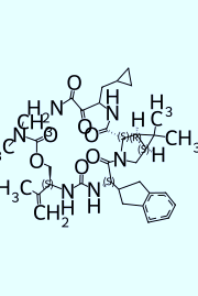 C=C(C)[C@@H](COC(=O)N(C)C)NC(=O)N[C@H](C(=O)N1C[C@H]2[C@@H]([C@H]1C(=O)NC(CC1CC1)C(=O)C(N)=O)C2(C)C)C1Cc2ccccc2C1